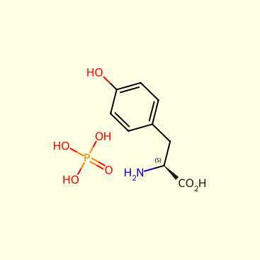 N[C@@H](Cc1ccc(O)cc1)C(=O)O.O=P(O)(O)O